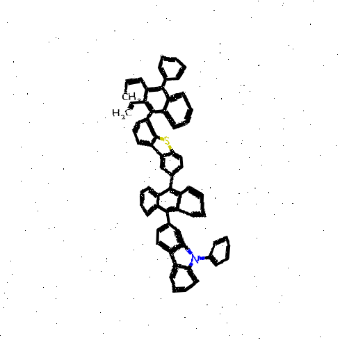 C=Cc1c(/C=C\C)c(-c2ccccc2)c2ccccc2c1-c1cccc2c1sc1ccc(-c3c4ccccc4c(-c4ccc5c6ccccc6n(-c6ccccc6)c5c4)c4ccccc34)cc12